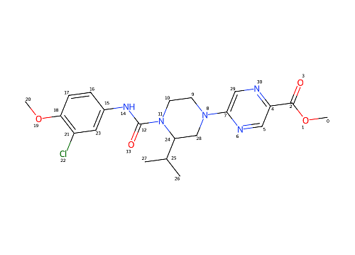 COC(=O)c1cnc(N2CCN(C(=O)Nc3ccc(OC)c(Cl)c3)C(C(C)C)C2)cn1